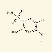 COc1cc(N)c(S(N)(=O)=O)cc1F